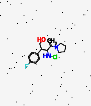 C=C(C(NCl)C(CO)c1ccc(F)cc1)N1CCCC1